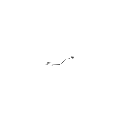 [2H]CCC#C